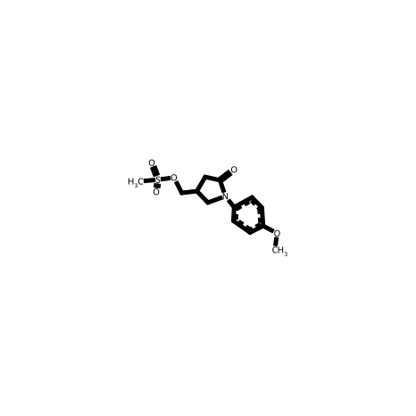 COc1ccc(N2CC(COS(C)(=O)=O)CC2=O)cc1